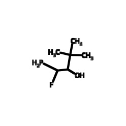 CC(C)(C)C(O)C(F)P